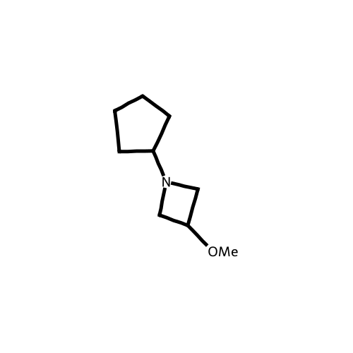 COC1CN(C2CCCC2)C1